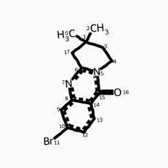 CC1(C)CCn2c(nc3cc(Br)ccc3c2=O)C1